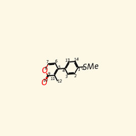 CSc1ccc(-c2ccoc(=O)c2C)cc1